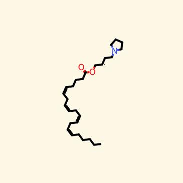 CCCCC/C=C\C/C=C\C/C=C\C/C=C\CCCC(=O)OC[CH]CCN1CCCC1